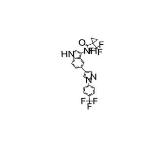 O=C(Nc1c[nH]c2ccc(-c3cnn(-c4ccc(C(F)(F)F)cc4)c3)cc12)C1(C(F)(F)F)CC1